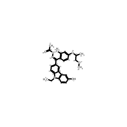 CCn1c2ccc(O)cc2c2cc(/C(=N/OC(C)=O)c3ccc(OC(C)COC)cc3C)ccc21